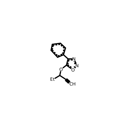 C#CC(CC)Oc1onnc1-c1ccccc1